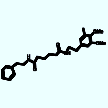 COc1cc(CCNC(=O)CCCCC(=O)NCCc2ccccc2)cc(C)c1OC